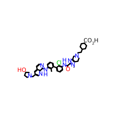 Cc1c(Nc2nccc3cc(CN4CC[C@@H](O)C4)cnc23)cccc1-c1cccc(NC(=O)c2nc3c(n2C)CCN(CCC2CCC(C(=O)O)CC2)C3)c1Cl